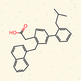 CC(C)Cc1ccccc1-c1ccc(CC(=O)O)c(Cc2cccc3ccccc23)c1